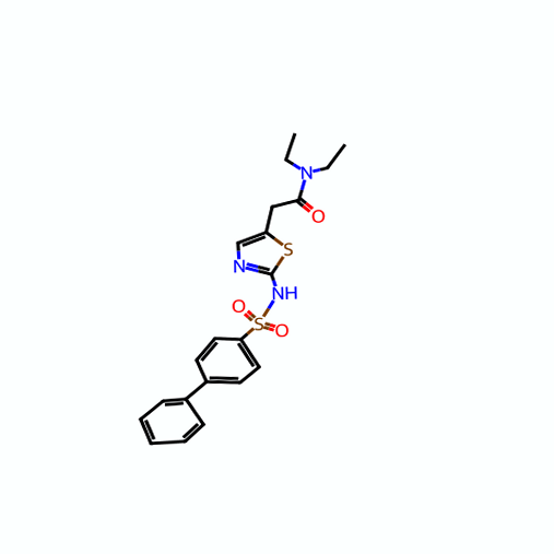 CCN(CC)C(=O)Cc1cnc(NS(=O)(=O)c2ccc(-c3ccccc3)cc2)s1